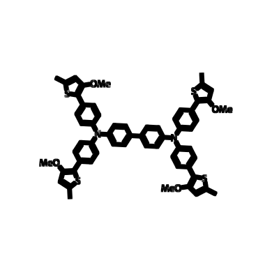 COc1cc(C)sc1-c1ccc(N(c2ccc(-c3ccc(N(c4ccc(-c5sc(C)cc5OC)cc4)c4ccc(-c5sc(C)cc5OC)cc4)cc3)cc2)c2ccc(-c3sc(C)cc3OC)cc2)cc1